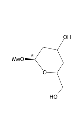 CO[C@H]1CC(O)CC(CO)O1